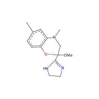 COC1(C2=NCCN2)CN(C)c2cc(C)ccc2O1